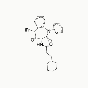 CC(C)C1C(=O)C(NC(=O)CCC2CCCCC2)C(=O)N(c2ccccc2)c2ccccc21